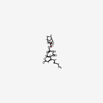 CCCCCc1cc(=O)oc2nc(ON=C3CC4CCC(C3)N4S(C)(=O)=O)[nH]c(=O)c12